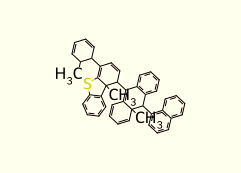 CC1C=CC=CC1C1=C2Sc3ccccc3C2(C)C(C2=C3C=CC=CC3(C)C(c3cccc4ccccc34)c3ccccc32)C=C1